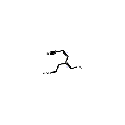 C#C/C=C\C(=C/C)CCNC(C)=O